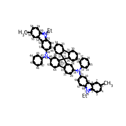 CCn1c2ccc(C)cc2c2cc(N(c3ccccc3)c3ccc4c(c3)C3(c5ccccc5-c5ccccc53)c3cc(N(c5ccccc5)c5ccc6c(c5)c5cc(C)ccc5n6CC)ccc3-4)ccc21